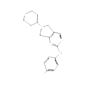 FC(F)(F)c1ccc(Nc2ncc3c(n2)CN(C2CCNCC2)C3)cc1